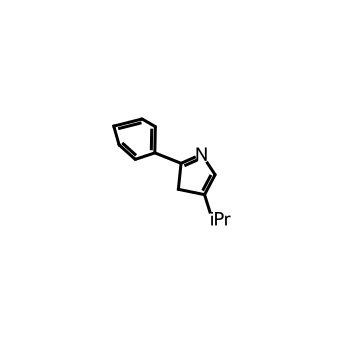 CC(C)C1=CN=C(c2ccccc2)C1